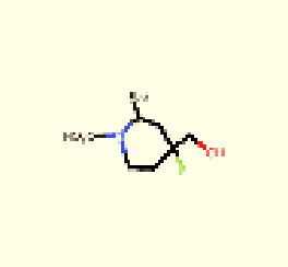 CC(C)(C)C1CC(F)(CO)CCN1C(=O)O